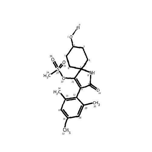 CCOC1CCC2(CC1)NC(=O)C(c1c(C)cc(C)cc1C)=C2OS(C)(=O)=O